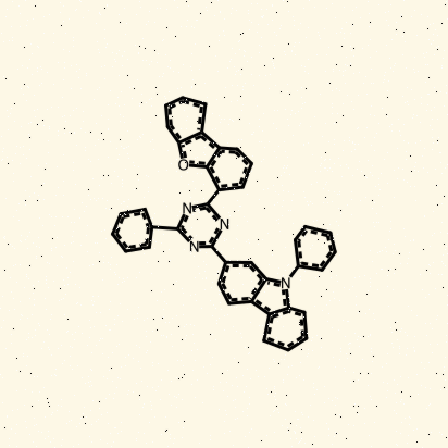 c1ccc(-c2nc(-c3ccc4c5ccccc5n(-c5ccccc5)c4c3)nc(-c3cccc4c3oc3ccccc34)n2)cc1